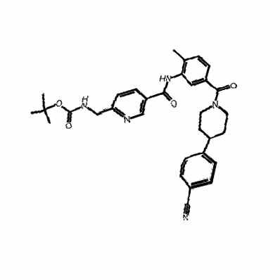 Cc1ccc(C(=O)N2CCC(c3ccc(C#N)cc3)CC2)cc1NC(=O)c1ccc(CNC(=O)OC(C)(C)C)nc1